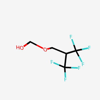 OCOCC(C(F)(F)F)C(F)(F)F